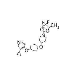 CC(OC(=O)N1CCC(OC2CCC(Oc3ccncc3C3CC3)CC2)CC1)C(F)(F)F